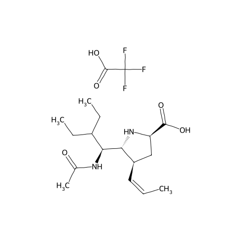 C/C=C\[C@@H]1C[C@H](C(=O)O)N[C@H]1[C@@H](NC(C)=O)C(CC)CC.O=C(O)C(F)(F)F